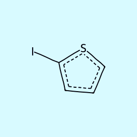 Ic1cccs1